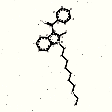 CCOCCCCCCCn1c(C)c(C(=O)c2ccccc2)c2ccccc21